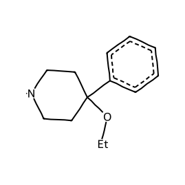 CCOC1(c2ccccc2)CC[N]CC1